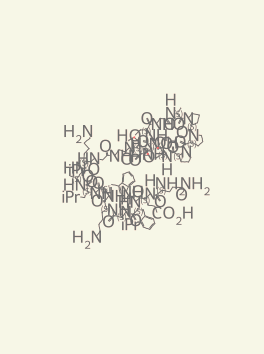 CC(C)C[C@H](NC(=O)[C@H](CC(C)C)NC(=O)[C@H](Cc1c[nH]c2ccccc12)NC(=O)[C@H](CCCCN)NC(=O)[C@@H](NC(=O)[C@H](Cc1ccccc1)NC(=O)[C@H](CCC(=O)O)NC(=O)[C@@H](N)CCC(N)=O)C(C)C)C(=O)N[C@@H](CCCCN)C(=O)NCC(=O)NCC(=O)N1CCC[C@H]1C(=O)N[C@@H](CO)C(=O)N[C@@H](CO)C(=O)NCC(=O)N[C@@H](C)C(=O)N1CCC[C@H]1C(=O)N1CCC[C@H]1C(=O)N1CCC[C@H]1C(=O)N[C@@H](CO)C(N)=O